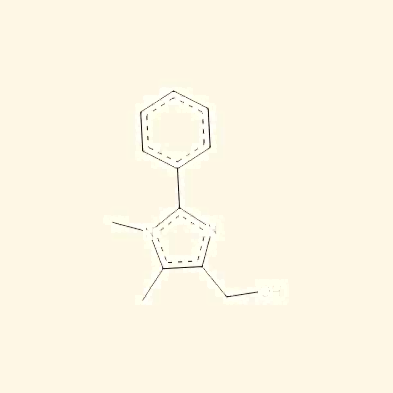 Cc1c(CO)nc(-c2ccccc2)n1C